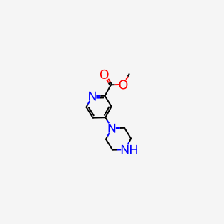 COC(=O)c1cc(N2CCNCC2)ccn1